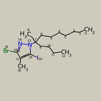 CCCCCCCC(C)(CCCC)n1nc(Br)c(C)c1I